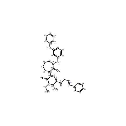 CCC[C@H](C(=O)NC/C=C/c1ccccc1)C(CC(C)C)C(=O)N[C@H]1CCCCN(Cc2cccc(Oc3ccccc3)c2)C1=O